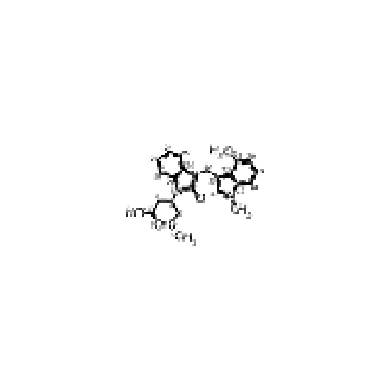 COCC(CC(=O)O)n1c(=O)n(Cc2cn(C)c3cccc(C)c23)c2ccccc21